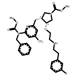 Cc1cc(C[C@@H]2CN(C(=O)OC(C)(C)C)C[C@@H]2OCCNCCc2cccc(F)c2)nc(N(Cc2ccccc2)C(=O)OC(C)(C)C)c1